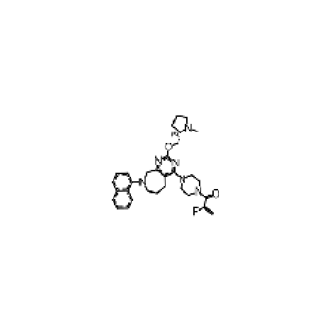 C=C(F)C(=O)N1CCN(c2nc(OC[C@@H]3CCCN3C)nc3c2CCCN(c2cccc4ccccc24)C3)CC1